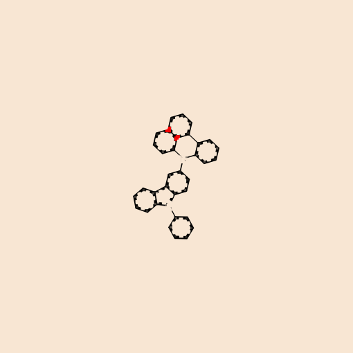 c1ccc(-c2ccccc2N(c2ccccc2)c2ccc3c(c2)c2ccccc2n3-c2ccccc2)cc1